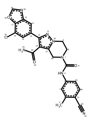 Cc1cc(NC(=O)N2CCn3nc(-c4cc(Cl)c5ocnc5c4)c(C(N)=O)c3C2)ccc1C#N